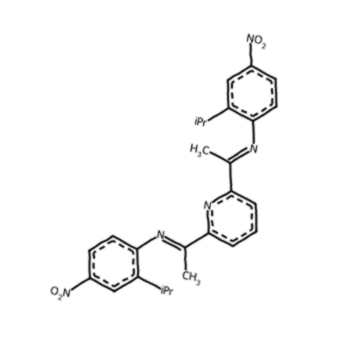 C/C(=N\c1ccc([N+](=O)[O-])cc1C(C)C)c1cccc(/C(C)=N/c2ccc([N+](=O)[O-])cc2C(C)C)n1